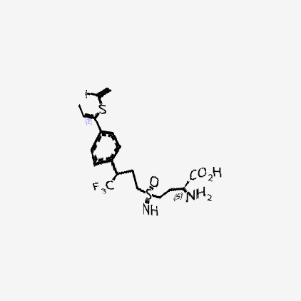 C=C(I)S/C(=C\C)c1ccc(C(CCS(=N)(=O)CC[C@H](N)C(=O)O)C(F)(F)F)cc1